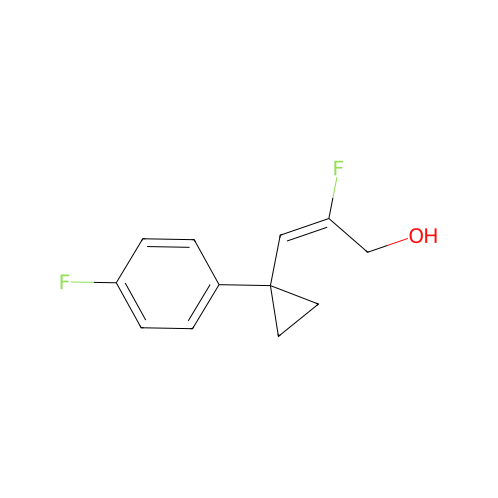 OC/C(F)=C\C1(c2ccc(F)cc2)CC1